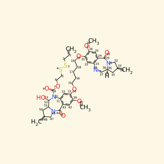 C=CCSSCCOC(=O)N1c2cc(OCCCCCOc3cc4c(cc3OC)C(=O)N3CC(=C)C[C@@H]3C=N4)c(OC)cc2C(=O)N2CC(=C)CC2C1O